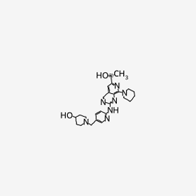 C[C@@H](O)c1cc2cnc(Nc3ccc(CN4CCC(O)CC4)cn3)nc2c(N2CCCCC2)n1